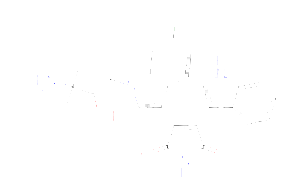 CCC(N)(CC)C(O)Cn1cc(C2=C(c3c[nH]c4ccccc34)C(=O)NC2=O)c2ccc(F)cc21